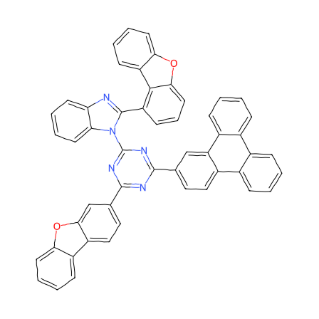 c1ccc2c(c1)nc(-c1cccc3oc4ccccc4c13)n2-c1nc(-c2ccc3c(c2)oc2ccccc23)nc(-c2ccc3c4ccccc4c4ccccc4c3c2)n1